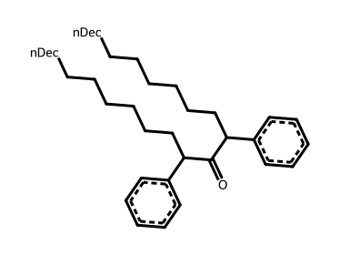 CCCCCCCCCCCCCCCCC(C(=O)C(CCCCCCCCCCCCCCCC)c1ccccc1)c1ccccc1